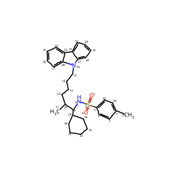 Cc1ccc(S(=O)(=O)NC(C(C)CCCCn2c3ccccc3c3ccccc32)C2CCCCC2)cc1